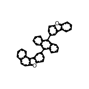 c1ccc2c(c1)ccc1oc3ccc(-c4c5ccccc5c(-c5ccc6oc7ccccc7c6c5)c5ccccc45)cc3c12